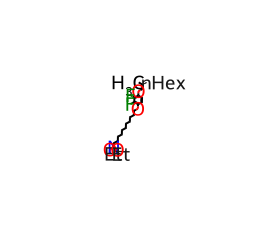 CCCCCC[C@H](C)COc1ccc(OCCCCCCCCCCCN(OCC)OCC)c(F)c1F